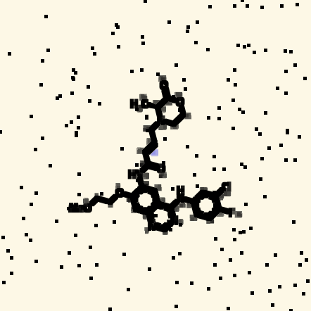 COCCOc1cc2ncnc(Nc3ccc(F)c(Cl)c3)c2cc1NC(=O)/C=C/CN1CCOC(=O)[C@@H]1C